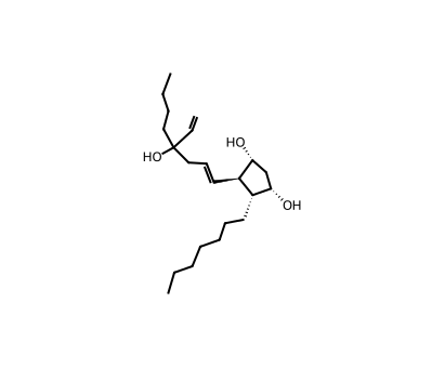 C=CC(O)(CC=C[C@@H]1[C@@H](CCCCCCC)[C@@H](O)C[C@H]1O)CCCC